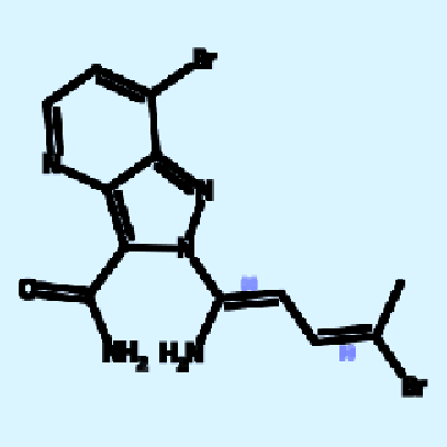 C/C(Br)=C\C=C(/N)n1nc2c(Br)ccnc2c1C(N)=O